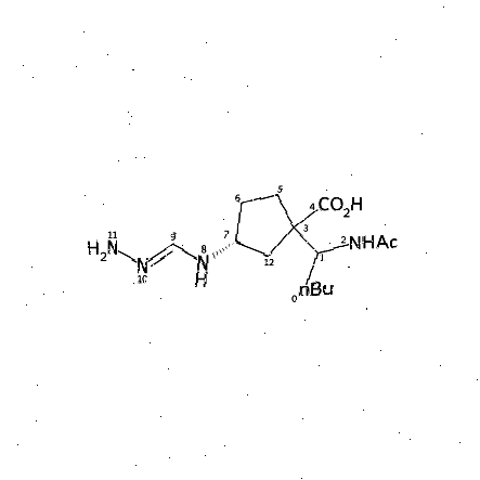 CCCCC(NC(C)=O)C1(C(=O)O)CC[C@@H](NC=NN)C1